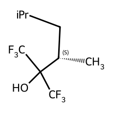 CC(C)C[C@H](C)C(O)(C(F)(F)F)C(F)(F)F